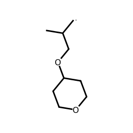 [CH2]C(C)COC1CCOCC1